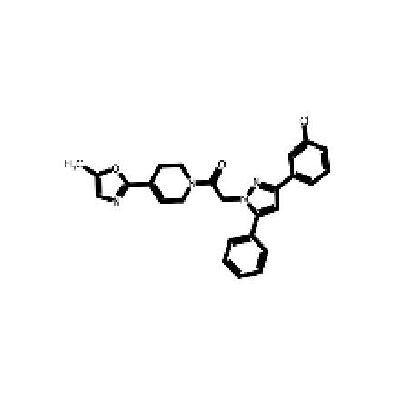 Cc1cnc(C2=CCN(C(=O)Cn3nc(-c4cccc(Cl)c4)cc3-c3ccccc3)CC2)o1